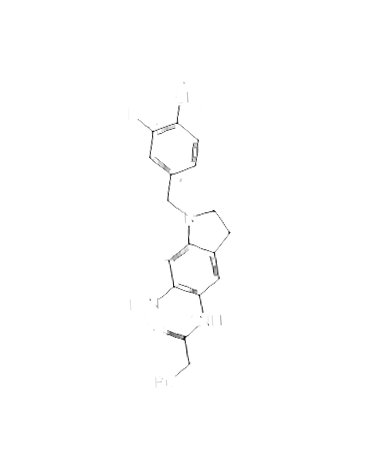 CC(C)(C)CC(=O)Nc1cc2c(cc1N)N(Cc1ccc(C(F)(F)F)c(F)c1)CC2